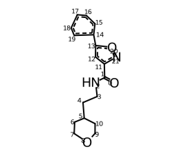 O=C(NCCC1CCOCC1)c1cc(-c2ccccc2)on1